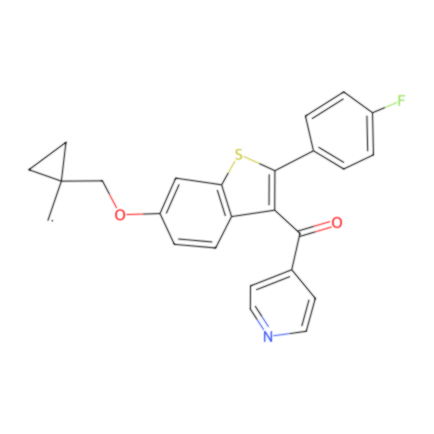 [CH2]C1(COc2ccc3c(C(=O)c4ccncc4)c(-c4ccc(F)cc4)sc3c2)CC1